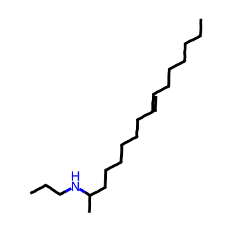 CCCCCCC=CCCCCCCC(C)NCCC